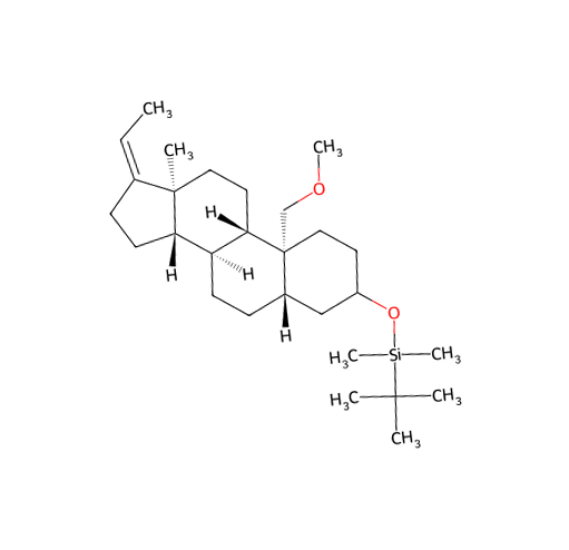 C/C=C1/CC[C@H]2[C@@H]3CC[C@H]4CC(O[Si](C)(C)C(C)(C)C)CC[C@]4(COC)[C@H]3CC[C@]12C